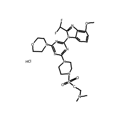 COc1cccc2c1nc(C(F)F)n2-c1nc(N2CCOCC2)nc(N2CCN(S(=O)(=O)CCN(C)C)CC2)n1.Cl